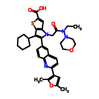 CCN(C(=O)Cn1c(-c2ccc3nc(-c4cc(C)oc4C)ccc3c2)c(C2CCCCC2)c2sc(C(=O)O)cc21)N1CCOCC1